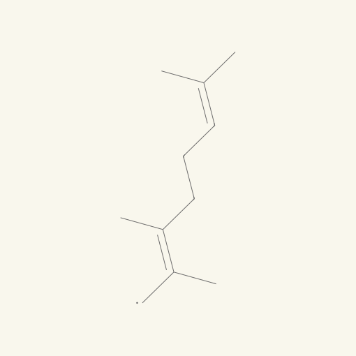 [CH2]/C(C)=C(\C)CCC=C(C)C